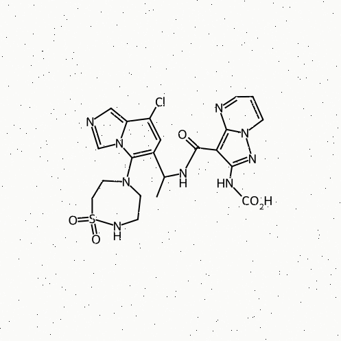 CC(NC(=O)c1c(NC(=O)O)nn2cccnc12)c1cc(Cl)c2cncn2c1N1CCNS(=O)(=O)CC1